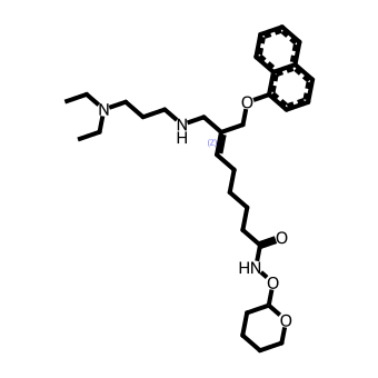 CCN(CC)CCCNC/C(=C/CCCCC(=O)NOC1CCCCO1)COc1cccc2ccccc12